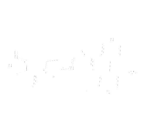 COc1cnc(Cl)cc1-c1cc(C)ncc1C(=O)Nc1nc2c(s1)CN(C(=O)c1cn[nH]c1)C2